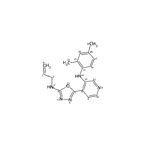 C=CCNc1nnc(-c2ccncc2Nc2ccc(C)cc2C)o1